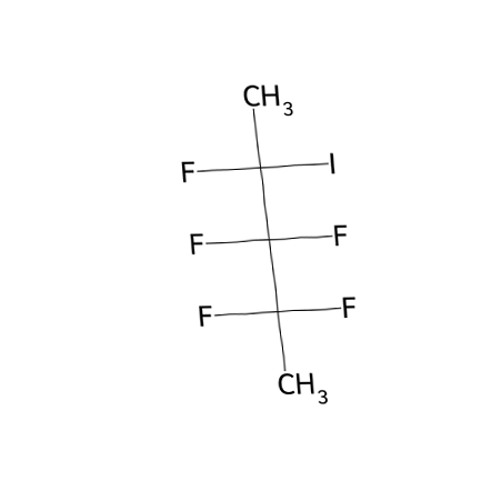 CC(F)(F)C(F)(F)C(C)(F)I